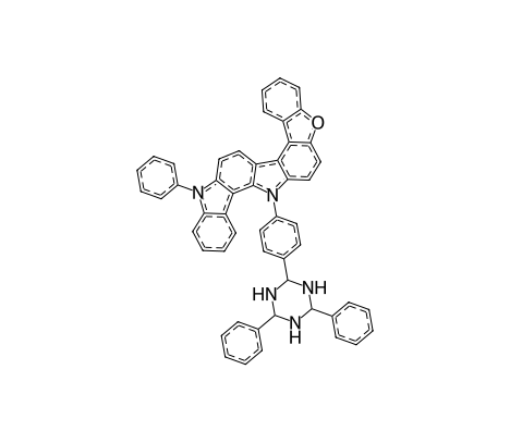 c1ccc(C2NC(c3ccccc3)NC(c3ccc(-n4c5ccc6oc7ccccc7c6c5c5ccc6c(c7ccccc7n6-c6ccccc6)c54)cc3)N2)cc1